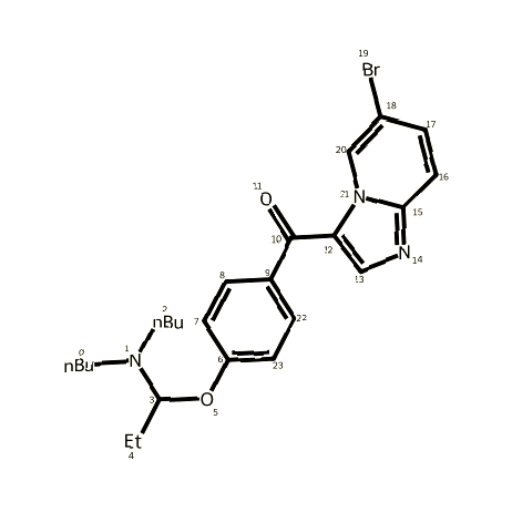 CCCCN(CCCC)C(CC)Oc1ccc(C(=O)c2cnc3ccc(Br)cn23)cc1